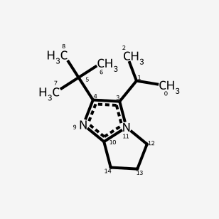 CC(C)c1c(C(C)(C)C)nc2n1CCC2